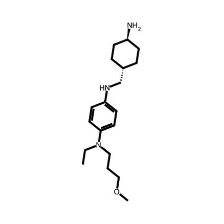 CCN(CCCOC)c1ccc(NC[C@H]2CC[C@H](N)CC2)cc1